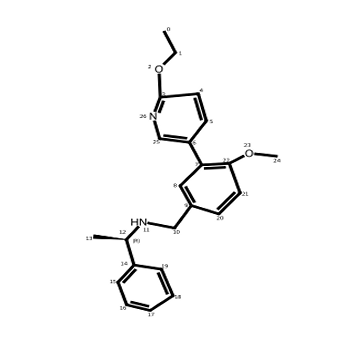 CCOc1ccc(-c2cc(CN[C@H](C)c3ccccc3)ccc2OC)cn1